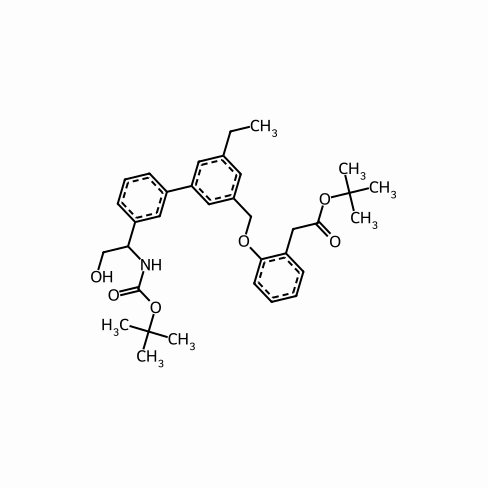 CCc1cc(COc2ccccc2CC(=O)OC(C)(C)C)cc(-c2cccc(C(CO)NC(=O)OC(C)(C)C)c2)c1